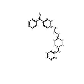 O=C(c1ccccc1)c1ccc(OCCN2CCN(Cc3ccccc3)CC2)cc1